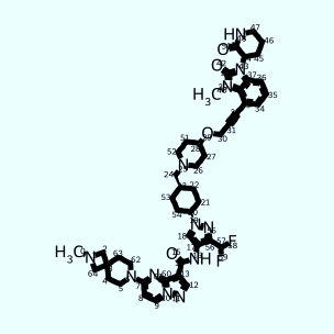 CN1CC2(CCN(c3ccn4ncc(C(=O)Nc5cn([C@H]6CC[C@H](CN7CCC(OCC#Cc8cccc9c8n(C)c(=O)n9C8CCCNC8=O)CC7)CC6)nc5C(F)F)c4n3)CC2)C1